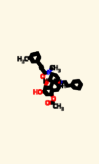 CC(=O)Oc1cc(O)c2c3c1C[C@@H]1[C@@H]4CC[C@H](N(C)C(=O)C#Cc5cccc(C)c5)[C@H](O2)[C@]34CCN1CCc1ccccc1